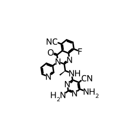 C[C@H](Nc1nc(N)nc(N)c1C#N)c1nc2c(F)ccc(C#N)c2c(=O)n1-c1cccnc1